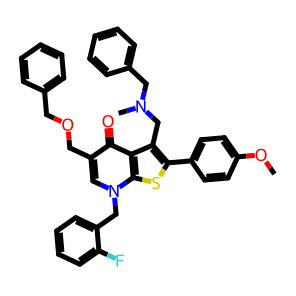 COc1ccc(-c2sc3c(c2CN(C)Cc2ccccc2)c(=O)c(COCc2ccccc2)cn3Cc2ccccc2F)cc1